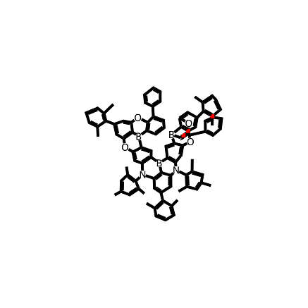 Cc1cc(C)c(N2c3cc4c(cc3B3c5cc6c(cc5N(c5c(C)cc(C)cc5C)c5cc(-c7c(C)cccc7C)cc2c53)Oc2cc(-c3c(C)cccc3C)cc3c2B6c2cccc(-c5ccccc5)c2O3)B2c3cccc(-c5ccccc5)c3Oc3cc(-c5c(C)cccc5C)cc(c32)O4)c(C)c1